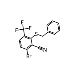 N#Cc1c(Br)ccc(C(F)(F)F)c1SCc1ccccc1